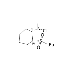 CC(C)(C)S(=O)(=O)[C@@H]1CCCC[C@@H]1NCl